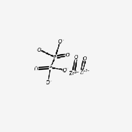 O=P([O-])([O-])P(=O)([O-])[O-].[O]=[Zr+2].[O]=[Zr+2]